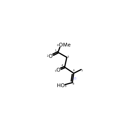 COC(=O)CC(=O)/C(C)=C\O